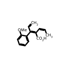 C=C/C(=C(\C=C/C)C(=O)O)c1ccccc1OC